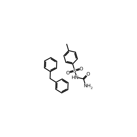 Cc1ccc(S(=O)(=O)NC(N)=O)cc1.c1ccc(Cc2ccccc2)cc1